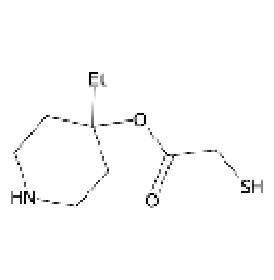 CCC1(OC(=O)CS)CCNCC1